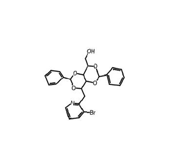 OCC1OC(c2ccccc2)OC2C(Cc3ncccc3Br)OC(c3ccccc3)OC12